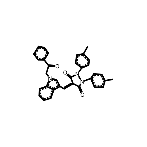 Cc1ccc(N2C(=O)C(=Cc3cn(CC(=O)c4ccccc4)c4ccccc34)C(=O)N2c2ccc(C)cc2)cc1